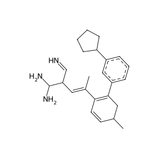 C/C(=C\C(C=N)C(N)N)C1=C(c2cccc(C3CCCC3)c2)CC(C)C=C1